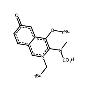 CCCCOc1c2cc(=O)ccc-2cn(CC(C)(C)C)c1N(C)C(=O)O